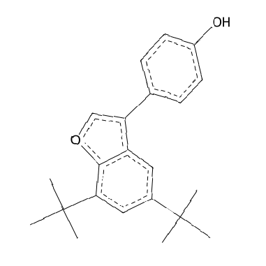 CC(C)(C)c1cc(C(C)(C)C)c2occ(-c3ccc(O)cc3)c2c1